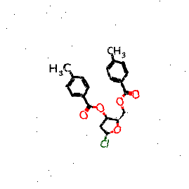 Cc1ccc(C(=O)OC[C@H]2O[C@@H](Cl)CC2OC(=O)c2ccc(C)cc2)cc1